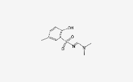 Cc1ccc(O)c(S(=O)(=O)N=CN(C)C)c1